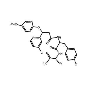 COc1ccc(OC(CC(=O)N[C@@H](Cc2ccc(Cl)cc2)C(=O)N[C@H](C(=O)C(F)(F)F)C(C)C)c2cccc(Cl)c2)cc1